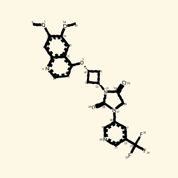 COc1cc2nccc(O[C@H]3C[C@H](N4C(=O)CN(c5cncc(C(F)(F)F)c5)C4=O)C3)c2cc1OC